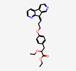 CCOC(=O)C(Cc1ccc(OCC/C=C2/c3cnccc3-c3cccnc32)cc1)OCC